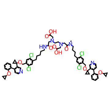 CN(CCCCc1cc(Cl)c(COC2(c3cnccc3-c3ccccc3OC3CC3)CC2)cc1Cl)C(=O)CN(CCN(CC(=O)O)CC(=O)NCCCCCc1cc(Cl)c(COC2(c3cnccc3-c3ccccc3OC3CC3)CC2)cc1Cl)CC(=O)O